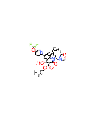 C\C=C(/C=c1/c(O)c(C(=O)OCC)c(=O)n(CCN2CCOCC2)/c1=C\CCC)c1ccc(OC(F)F)cn1